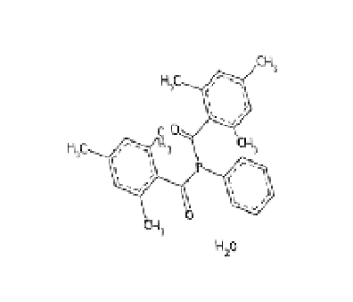 Cc1cc(C)c(C(=O)P(C(=O)c2c(C)cc(C)cc2C)c2ccccc2)c(C)c1.O